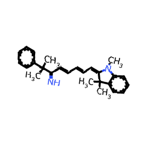 CN1/C(=C/C=C/C=C/C(=N)C(C)(C)c2ccccc2)C(C)(C)c2ccccc21